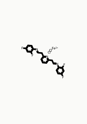 Fc1ccc(N=CCc2cccc(CC=Nc3ccc(F)cc3F)n2)c(F)c1.[Cl-].[Cl-].[Fe+2]